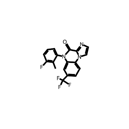 Cc1c(F)cccc1-n1c(=O)c2nccn2c2ccc(C(F)(F)F)cc21